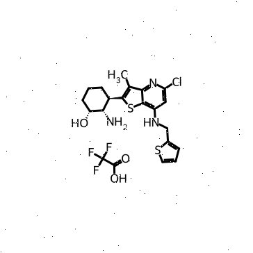 Cc1c([C@@H]2CCC[C@@H](O)[C@H]2N)sc2c(NCc3cccs3)cc(Cl)nc12.O=C(O)C(F)(F)F